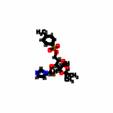 Cc1ccc(S(=O)(=O)OC[C@H]2O[C@@H]3OC(C)(C)O[C@@H]3[C@H]2OC(=S)n2ccnc2)cc1